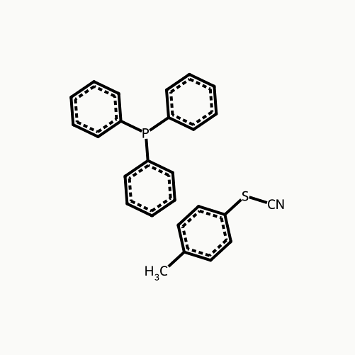 Cc1ccc(SC#N)cc1.c1ccc(P(c2ccccc2)c2ccccc2)cc1